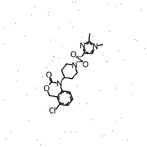 Cc1nc(S(=O)(=O)N2CCC(N3C(=O)OCc4c(Cl)cccc43)CC2)cn1C